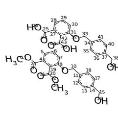 COC(=O)c1cccc(OCc2ccc(CO)cc2)c1C(=O)OC.O=C(O)c1cccc(OCc2ccc(CO)cc2)c1C(=O)O